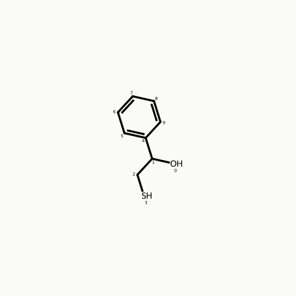 OC(CS)c1ccccc1